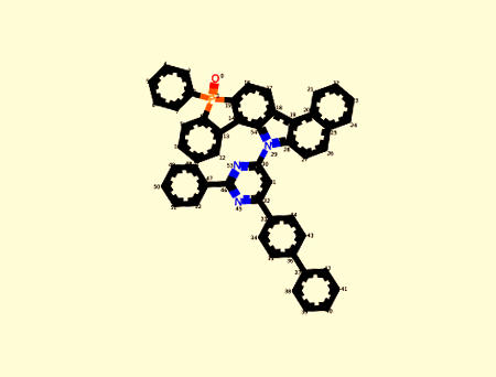 O=P1(c2ccccc2)c2ccccc2-c2c1ccc1c3c4ccccc4ccc3n(-c3cc(-c4ccc(-c5ccccc5)cc4)nc(-c4ccccc4)n3)c21